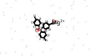 Cc1ccc([Si]([O-])(c2ccc(C)cc2)c2ccc(C)cc2)cc1.[Br-].[Mg+2]